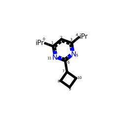 CC(C)c1cc(C(C)C)nc(C2CCC2)n1